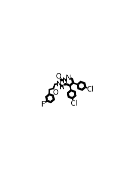 O=c1n(CC2Cc3cc(F)ccc3O2)nc2c(-c3ccc(Cl)cc3)c(-c3ccc(Cl)cc3)cnn12